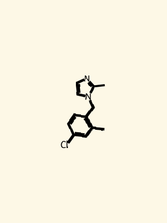 Cc1cc(Cl)ccc1Cn1ccnc1C